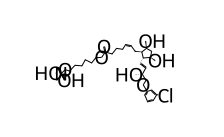 O=C(CCC/C=C\C[C@@H]1[C@@H](/C=C/[C@@H](O)COc2cccc(Cl)c2)[C@H](O)C[C@@H]1O)OCCCCCCON(O)O